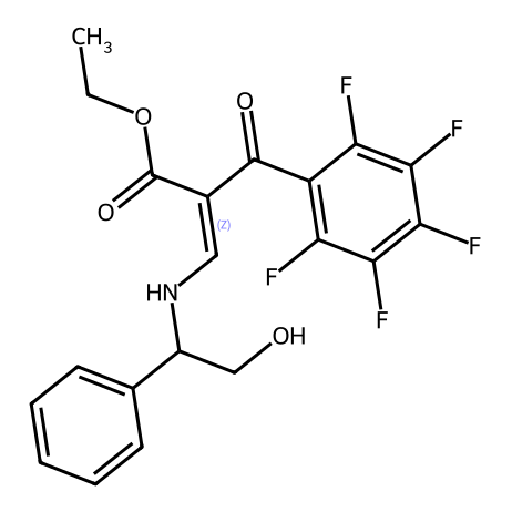 CCOC(=O)/C(=C\NC(CO)c1ccccc1)C(=O)c1c(F)c(F)c(F)c(F)c1F